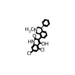 CN1Cc2c(-c3c(O)c4c(Cl)cc(Cl)cc4[nH]c3=O)cccc2[C@H](c2ccccc2)C1